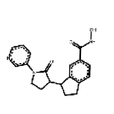 O=C(NO)c1ccc2c(c1)C(C1CCN(c3cccnc3)C1=O)CC2